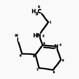 CCNC1=NCCCC1CI